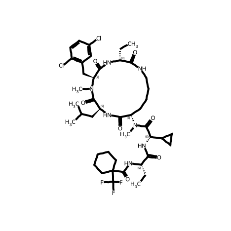 CC[C@H](NC(=O)C1(C(F)(F)F)CCCCC1)C(=O)N[C@H](C(=O)N(C)[C@H]1CCCCNC(=O)[C@@H](CC)NC(=O)[C@H](Cc2cc(Cl)ccc2Cl)N(C)C(=O)[C@H](CC(C)C)NC1=O)C1CC1